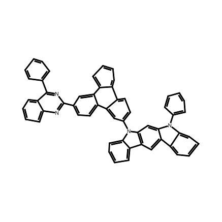 c1ccc(-c2nc(-c3ccc4c(c3)c3ccccc3c3ccc(-n5c6ccccc6c6cc7c8ccccc8n(-c8ccccc8)c7cc65)cc34)nc3ccccc23)cc1